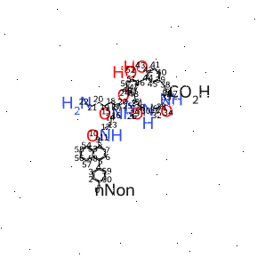 CCCCCCCCCc1ccc(-c2ccc(C(=O)NCCC(=O)N[C@@H](CCCCN)C(=O)N(C)[C@@H]3C(=O)N[C@@H](C)C(=O)N[C@H](C(=O)O)Cc4ccc(O)c(c4)-c4cc3ccc4O)c3ccccc23)cc1